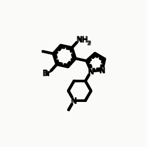 Cc1cc(N)c(-c2ccnn2C2CCN(C)CC2)cc1Br